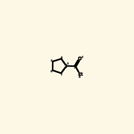 CCC(=O)I1CCCC1